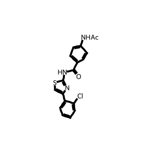 CC(=O)Nc1ccc(C(=O)Nc2nc(-c3ccccc3Cl)cs2)cc1